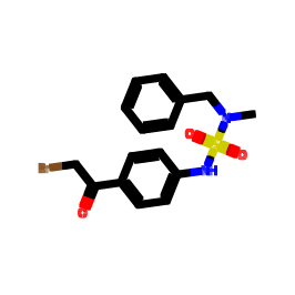 CN(Cc1ccccc1)S(=O)(=O)Nc1ccc(C(=O)CBr)cc1